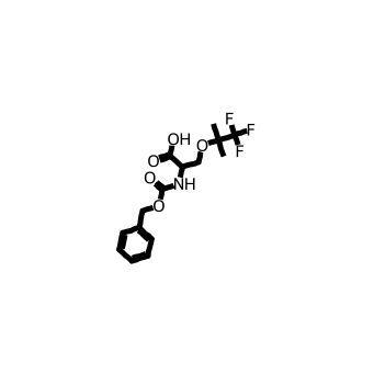 CC(C)(OCC(NC(=O)OCc1ccccc1)C(=O)O)C(F)(F)F